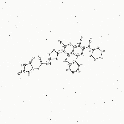 O=C(CC1NC(=O)NC1=O)NC1CCN(c2c(F)cc3c(=O)c(C(=O)N4CCCCC4)cn4c3c2Oc2ccccc2-4)C1